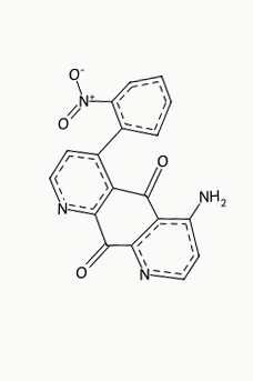 Nc1ccnc2c1C(=O)c1c(-c3ccccc3[N+](=O)[O-])ccnc1C2=O